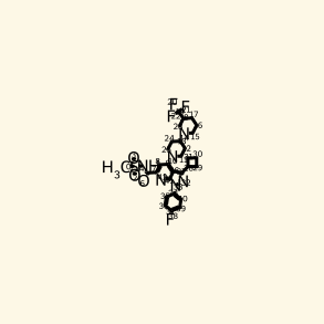 CS(=O)(=O)NC(=O)c1cc(N2CCC(N3CCCC(C(F)(F)F)C3)CC2)c2c(C3CCC3)nn(-c3ccc(F)cc3)c2n1